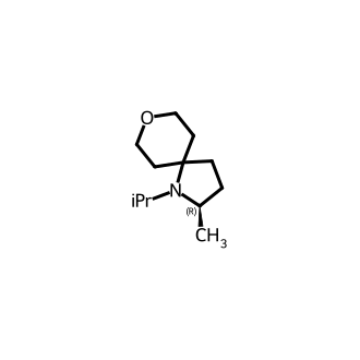 CC(C)N1[C@H](C)CCC12CCOCC2